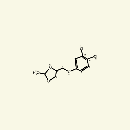 CC1OCC(COc2ccc(Cl)c(Cl)c2)O1